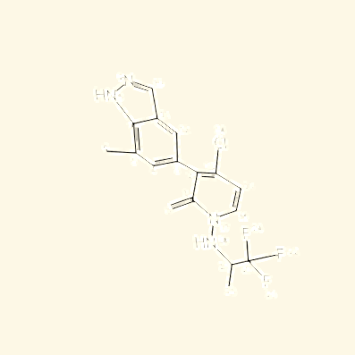 C=C1C(c2cc(C)c3[nH]ncc3c2)=C(Cl)C=CN1NC(C)C(F)(F)F